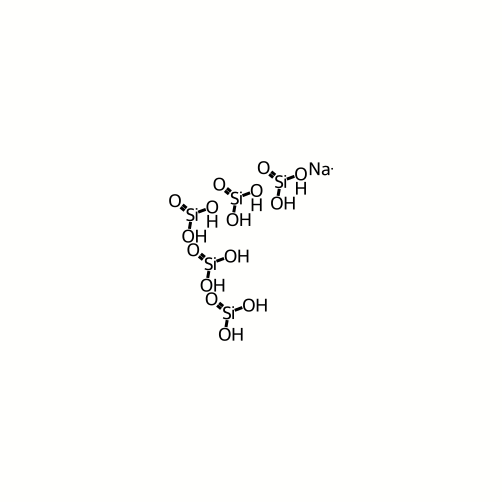 O=[Si](O)O.O=[Si](O)O.O=[Si](O)O.O=[Si](O)O.O=[Si](O)O.[Na]